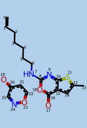 C=CCCCCCNc1nc2sc(C)cc2c(=O)o1.O=c1cconc1